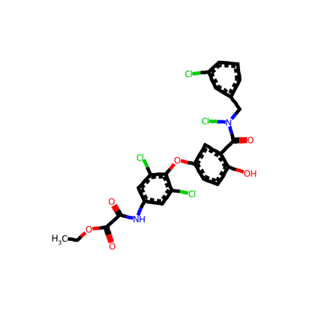 CCOC(=O)C(=O)Nc1cc(Cl)c(Oc2ccc(O)c(C(=O)N(Cl)Cc3cccc(Cl)c3)c2)c(Cl)c1